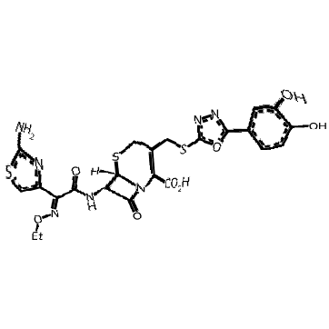 CCON=C(C(=O)N[C@@H]1C(=O)N2C(C(=O)O)=C(CSc3nnc(-c4ccc(O)c(O)c4)o3)CS[C@@H]12)c1csc(N)n1